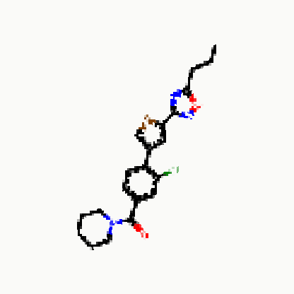 CCCc1nc(-c2cc(-c3ccc(C(=O)N4CCCCC4)cc3Cl)cs2)no1